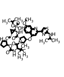 C=C[C@@H]1C[C@]1(NC(=O)[C@@H]1C[C@@H](Oc2cc(-c3csc(NC(C)C)n3)nc3cc(OC)ccc23)CN1C(=O)[C@@H](NC(=O)OC1CCCC1)C(C)(C)C)P(=O)(O)OC(C)C